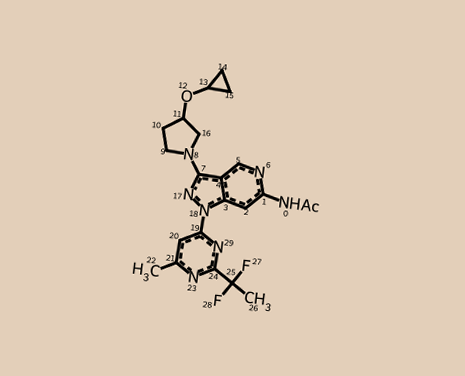 CC(=O)Nc1cc2c(cn1)c(N1CCC(OC3CC3)C1)nn2-c1cc(C)nc(C(C)(F)F)n1